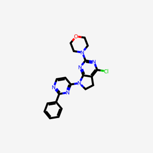 Clc1nc(N2CCOCC2)nc2c1CCN2c1ccnc(-c2ccccc2)n1